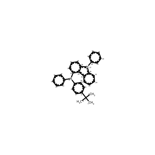 CC(C)(C)c1ccc(N(c2ccccc2)c2cccc3c2c2ccccc2n3-c2ccccc2)cc1